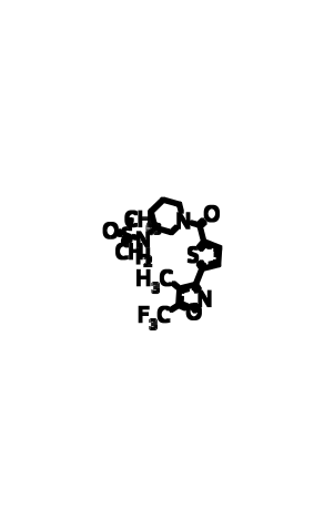 C=S(C)(=O)N[C@H]1CCCN(C(=O)c2ccc(-c3noc(C(F)(F)F)c3C)s2)C1